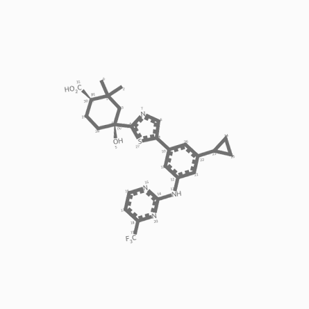 CC1(C)C[C@](O)(c2ncc(-c3cc(Nc4nccc(C(F)(F)F)n4)cc(C4CC4)c3)s2)CC[C@H]1C(=O)O